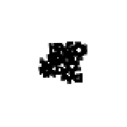 Cn1nnc(COc2ccc(Cl)c3c2[C@@H](CN2CCCC2=O)N(C(=O)[C@@H]2CCCC[C@@H]2C(=O)O)CC3)c1C(F)F